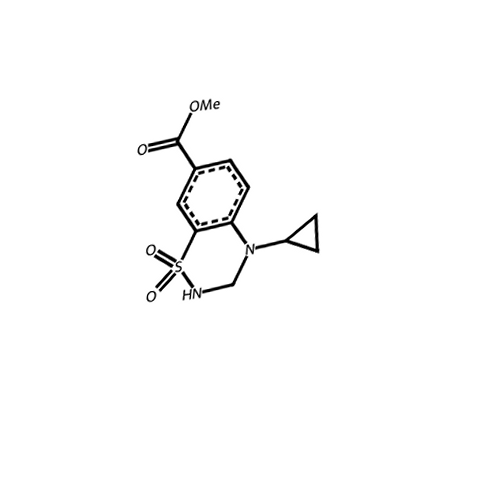 COC(=O)c1ccc2c(c1)S(=O)(=O)NCN2C1CC1